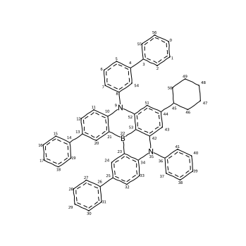 c1ccc(-c2cccc(N3c4ccc(-c5ccccc5)cc4B4c5cc(-c6ccccc6)ccc5N(c5ccccc5)c5cc(C6CCCCC6)cc3c54)c2)cc1